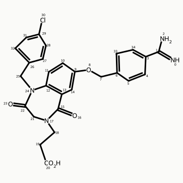 N=C(N)c1ccc(COc2ccc3c(c2)C(=O)N(CCC(=O)O)CC(=O)N3Cc2ccc(Cl)cc2)cc1